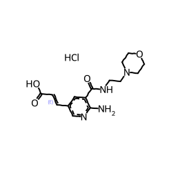 Cl.Nc1ncc(/C=C/C(=O)O)cc1C(=O)NCCN1CCOCC1